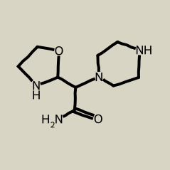 NC(=O)C(C1NCCO1)N1CCNCC1